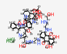 CCC1=CC2CN(C1)Cc1c([nH]c3ccccc13)[C@@](C(=O)OC)(c1cc3c(cc1OC)N(C)[C@H]1[C@@](O)(C(=O)OC)[C@H](OC(C)=O)[C@]4(CC)C=CCN5CC[C@]31[C@@H]54)C2.Cl.Cl.O=C1c2c(O)ccc(O)c2C(=O)c2c(NCCNCCO)ccc(NCCNCCO)c21